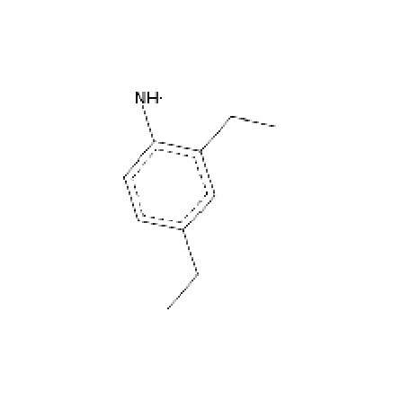 CCc1ccc([NH])c(CC)c1